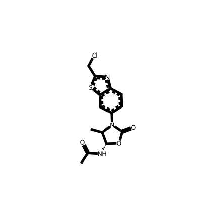 CC(=O)N[C@H]1OC(=O)N(c2ccc3nc(CCl)sc3c2)C1C